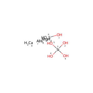 O=S(=O)(O)O.O[Si](O)(O)O.[AlH3].[CaH2].[MgH2]